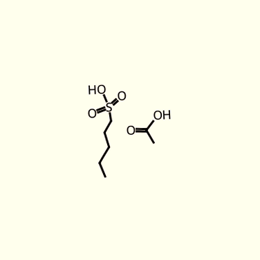 CC(=O)O.CCCCCS(=O)(=O)O